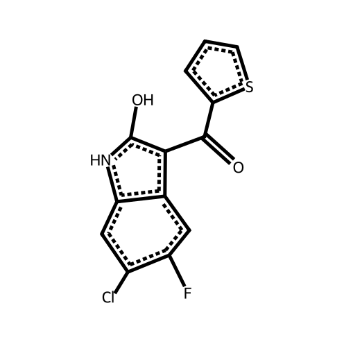 O=C(c1cccs1)c1c(O)[nH]c2cc(Cl)c(F)cc12